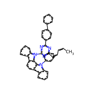 C/C=C\C=C/c1nc(-c2ccc(-c3ccccc3)cc2)nc(-n2c3ccccc3c3ccc4c5ccccc5n(-c5ccccc5)c4c32)n1